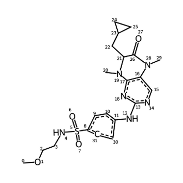 COCCNS(=O)(=O)c1ccc(Nc2ncc3c(n2)N(C)C(CC2CC2)C(=O)N3C)cc1